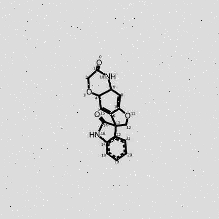 O=C1COC2C=C3C(=CC2N1)OCC31C(=O)Nc2ccccc21